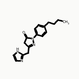 CCCCc1ccc(N2N=C(Cc3ncc[nH]3)CC2=O)cc1